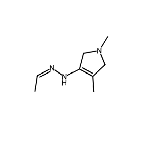 C/C=N\NC1=C(C)CN(C)C1